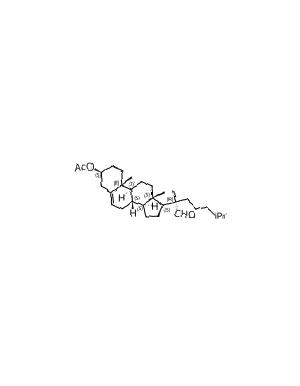 CC(=O)O[C@H]1CC[C@@]2(C)C(=CC[C@H]3[C@@H]4CC[C@H]([C@](C)(C=O)CCCC(C)C)[C@@]4(C)CC[C@@H]32)C1